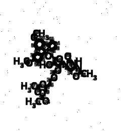 COc1ccc(C(OC[C@H]2O[C@@H](n3ccc(NC(C)=O)nc3=O)[C@H](OCOCCC(COC(C)=O)OC(C)=O)[C@@H]2O)(c2ccccc2)c2ccc(OC)cc2)cc1